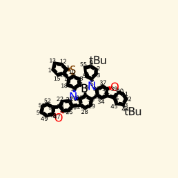 CC(C)(C)c1ccc(N2B3c4cc5sc6ccccc6c5cc4-n4c5cc6c(cc5c5ccc(c3c54)-c3cc4c(cc32)oc2ccc(C(C)(C)C)cc24)oc2ccccc26)cc1